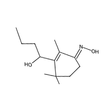 CCCC(O)C1=C(C)/C(=N/O)CCC1(C)C